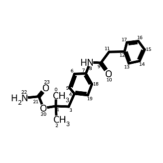 CC(C)(Cc1ccc(NC(=O)Cc2ccccc2)cc1)OC(N)=O